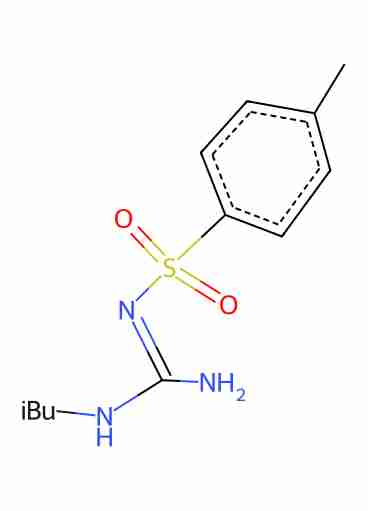 CCC(C)N/C(N)=N/S(=O)(=O)c1ccc(C)cc1